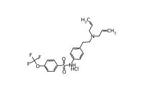 C=CCN(CC=C)CCc1ccc(NS(=O)(=O)c2ccc(OC(F)(F)F)cc2)cc1.Cl